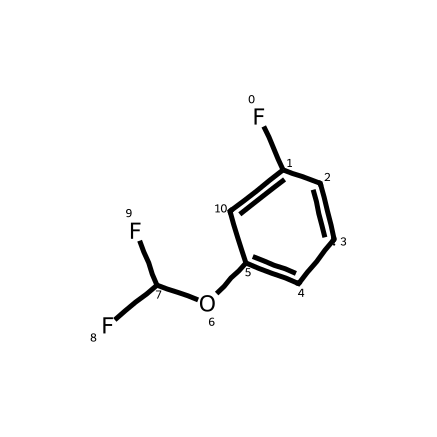 Fc1c[c]cc(OC(F)F)c1